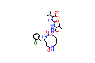 COC(=O)C(NC(=O)N[C@H](C(=O)N[C@H]1CCCCNC(=O)/C=C/[C@H](Cc2ccccc2Cl)NC1=O)C(C)C)C(C)C